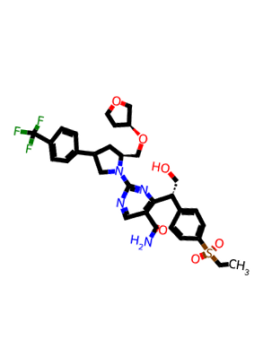 CCS(=O)(=O)c1ccc([C@@H](CO)c2nc(N3CC(c4ccc(C(F)(F)F)cc4)C[C@H]3CO[C@H]3CCOC3)ncc2C(N)=O)cc1